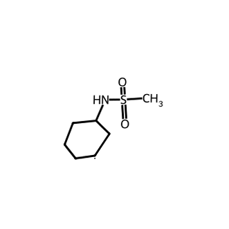 CS(=O)(=O)NC1C[CH]CCC1